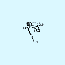 CCc1cc2[nH]cc(C(=O)O)c(=O)c2cc1CCCOCCOCCC#N.O=C(O)C1=CNc2ccccc2C1